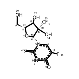 O=c1[nH]c(=S)n([C@@H]2O[C@H](CO)C(O)[C@]2(O)C(F)(F)F)cc1F